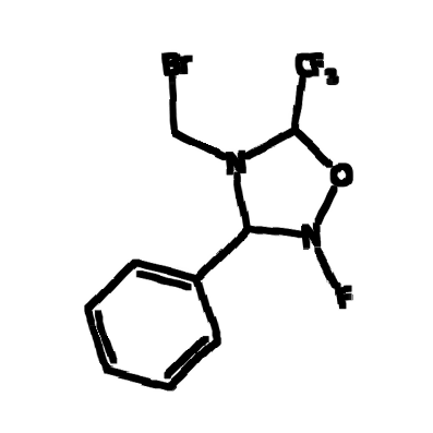 FN1OC(C(F)(F)F)N(CBr)C1c1ccccc1